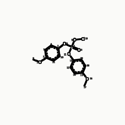 COc1ccc(OP(=O)(OCl)Oc2ccc(OC)cc2)cc1